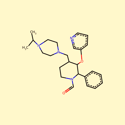 CC(C)N1CCN(CC2CCN(C=O)C(c3ccccc3)C2Oc2cccnc2)CC1